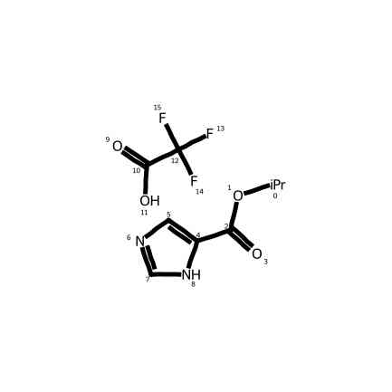 CC(C)OC(=O)c1cnc[nH]1.O=C(O)C(F)(F)F